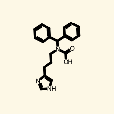 O=C(O)N(CCCc1c[nH]cn1)C(c1ccccc1)c1ccccc1